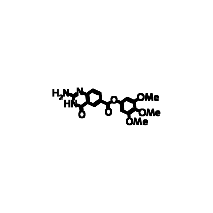 COc1cc(OC(=O)c2ccc3nc(N)[nH]c(=O)c3c2)cc(OC)c1OC